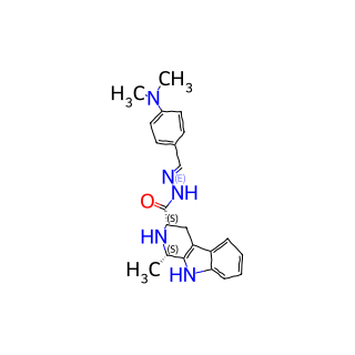 C[C@@H]1N[C@H](C(=O)N/N=C/c2ccc(N(C)C)cc2)Cc2c1[nH]c1ccccc21